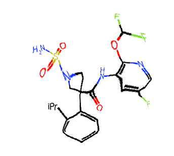 CC(C)c1ccccc1C1(C(=O)Nc2cc(F)cnc2OC(F)F)CN(S(N)(=O)=O)C1